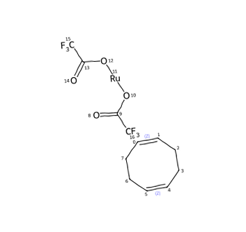 C1=C\CC/C=C\CC/1.O=C([O][Ru][O]C(=O)C(F)(F)F)C(F)(F)F